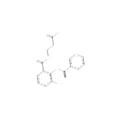 COc1cccc(C(=O)NCCC(N)=O)c1SC(=O)c1cccnc1